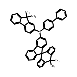 CC1(C)c2ccccc2-c2ccc(N(c3ccc(-c4ccccc4)cc3)c3ccc4c(c3)-c3ccccc3C43c4ccccc4C(C)(C)c4ccccc43)cc21